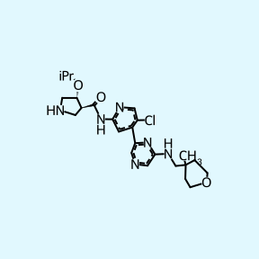 CC(C)O[C@H]1CNC[C@@H]1C(=O)Nc1cc(-c2cncc(NCC3(C)CCOCC3)n2)c(Cl)cn1